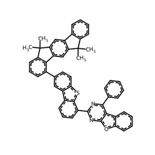 CC1(C)c2ccccc2-c2cc3c(cc21)-c1c(-c2ccc4sc5c(-c6nc(-c7ccccc7)c7c(n6)oc6ccccc67)cccc5c4c2)cccc1C3(C)C